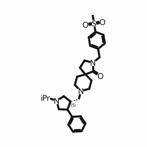 CC(C)N1CC(c2ccccc2)[C@@H](CN2CCC3(CC2)CCN(Cc2ccc(S(C)(=O)=O)cc2)C3=O)C1